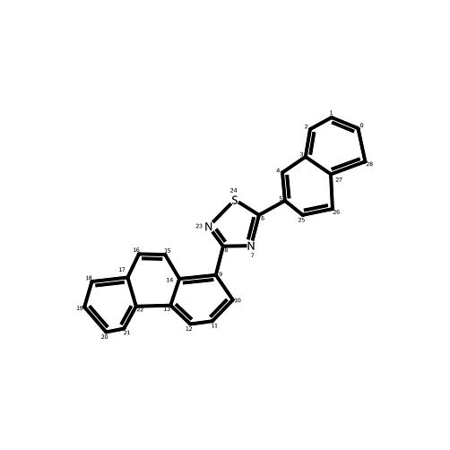 c1ccc2cc(-c3nc(-c4cccc5c4ccc4ccccc45)ns3)ccc2c1